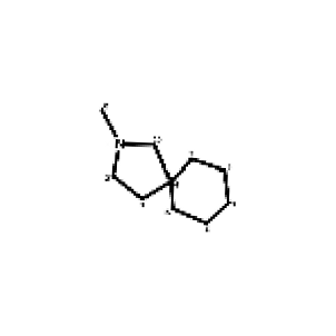 CN1CCC2(CCCCC2)C1